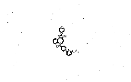 Cc1cccc(N2CCC(C(=O)N3CCc4[nH]c(N5CCOCC5)nc4-c4ccccc43)CC2)n1